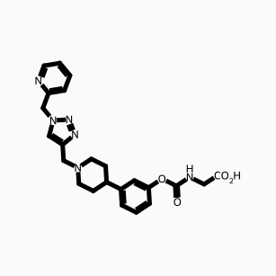 O=C(O)CNC(=O)Oc1cccc(C2CCN(Cc3cn(Cc4ccccn4)nn3)CC2)c1